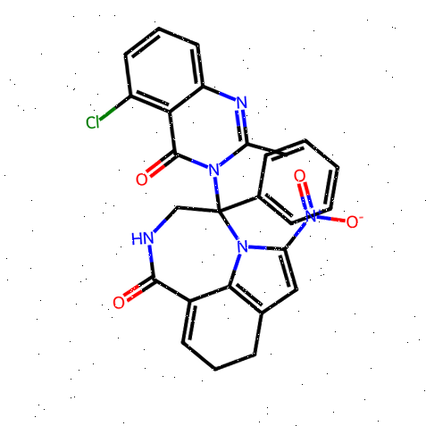 Cc1nc2cccc(Cl)c2c(=O)n1C1(c2ccccc2)CNC(=O)C2=CCCc3cc([N+](=O)[O-])n1c32